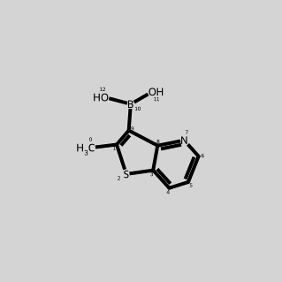 Cc1sc2cccnc2c1B(O)O